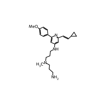 COc1ccc(-c2cc(NCCCN(C)CCCN)cc(/C=C/C3CC3)n2)cc1